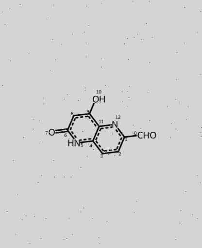 O=Cc1ccc2[nH]c(=O)cc(O)c2n1